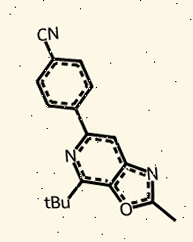 Cc1nc2cc(-c3ccc(C#N)cc3)nc(C(C)(C)C)c2o1